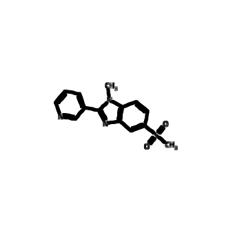 Cn1c(-c2cccnc2)nc2cc(S(C)(=O)=O)ccc21